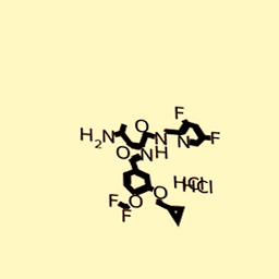 CC(N)c1oc(-c2ccc(OC(F)F)c(OCC3CC3)c2)nc1C(=O)NCc1ncc(F)cc1F.Cl.Cl